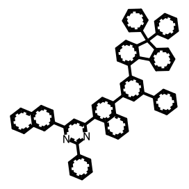 c1ccc(-c2cc(-c3cccc4c3-c3ccccc3C4(c3ccccc3)c3ccccc3)cc(-c3ccc(-c4cc(-c5ccc6ccccc6c5)nc(-c5ccccc5)n4)c4ccccc34)c2)cc1